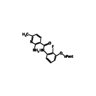 CCCCCOc1cccc(NC(=O)c2ccc(C)nc2N)c1F